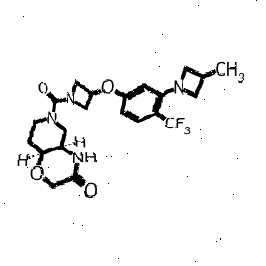 CC1CN(c2cc(OC3CN(C(=O)N4CC[C@@H]5OCC(=O)N[C@@H]5C4)C3)ccc2C(F)(F)F)C1